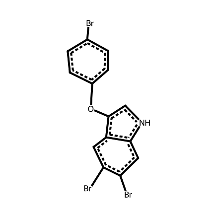 Brc1ccc(Oc2c[nH]c3cc(Br)c(Br)cc23)cc1